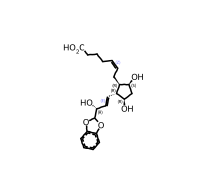 O=C(O)CCC/C=C\C[C@@H]1[C@@H](/C=C/[C@@H](O)C2Oc3ccccc3O2)[C@H](O)C[C@@H]1O